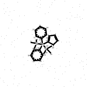 C[Si](C)(C)P(C1=CC=CC1)(c1ccccc1)(c1ccccc1)[Si](C)(C)C